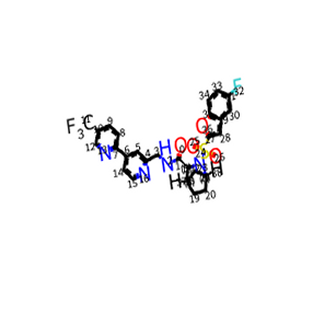 O=C(NCc1cc(-c2ccc(C(F)(F)F)cn2)ccn1)[C@@H]1[C@H]2CC[C@H](C2)N1S(=O)(=O)c1cc2cc(F)ccc2o1